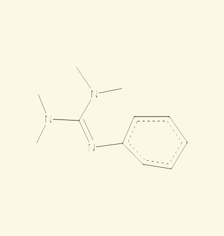 CN(C)C(=Nc1ccccc1)N(C)C